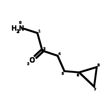 NCC(=O)CCC1CC1